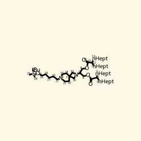 CCCCCCCC(CCCCCCC)C(=O)OCC(COC(=O)C(CCCCCCC)CCCCCCC)N1CC2(CCN(CCCCCO[Si](C)(C)C(C)(C)C)CC2)C1